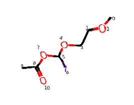 COCCOC(I)OC(C)=O